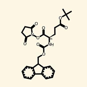 CC(C)(C)OC(=O)CC[C@@H](NC(=O)OCC1c2ccccc2-c2ccccc21)C(=O)ON1C(=O)CCC1=O